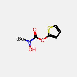 CC(C)(C)N(O)C(=O)Oc1cccs1